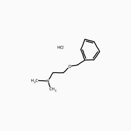 CN(C)CCOCc1ccccc1.Cl